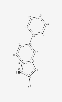 Cc1cc2cc(-c3ccccc3)ccc2[nH]1